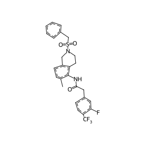 Cc1ccc2c(c1NC(=O)Cc1ccc(C(F)(F)F)c(F)c1)CCN(S(=O)(=O)Cc1ccccc1)C2